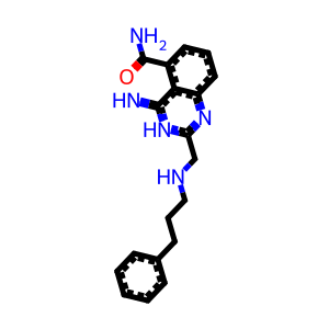 N=c1[nH]c(CNCCCc2ccccc2)nc2cccc(C(N)=O)c12